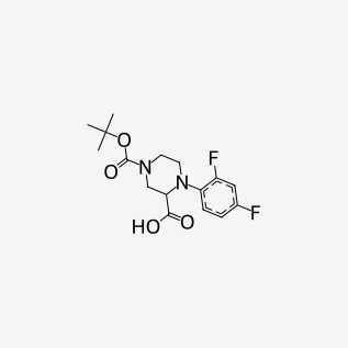 CC(C)(C)OC(=O)N1CCN(c2ccc(F)cc2F)C(C(=O)O)C1